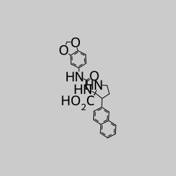 O=C(Nc1ccc2c(c1)OCO2)N[C@]1(C(=O)O)NCCC1c1ccc2ccccc2c1